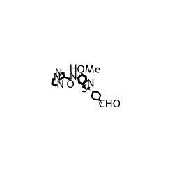 COc1cc2nc([C@H]3CC[C@H](C=O)CC3)sc2cc1NC(=O)c1cnn2cccnc12